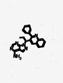 CCC(c1cc2ccccc2nc1-c1ccccc1)n1ncc2c(N)ncnc21